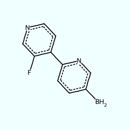 Bc1ccc(-c2ccncc2F)nc1